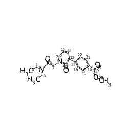 CCN(CC)C(=O)Cn1cccc(-c2ccc(C(=O)OC)cc2)c1=O